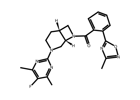 Cc1noc(-c2ccccc2C(=O)N2C[C@H]3CCN(c4nc(C)c(F)c(C)n4)C[C@H]32)n1